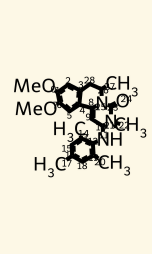 COc1cc2c(cc1OC)C1=CC(Nc3c(C)cc(C)cc3C)N(C)C(=O)N1C(C)C2